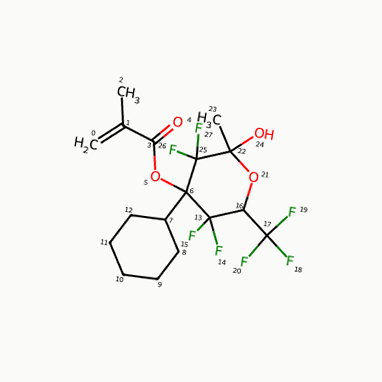 C=C(C)C(=O)OC1(C2CCCCC2)C(F)(F)C(C(F)(F)F)OC(C)(O)C1(F)F